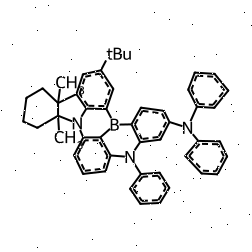 CC(C)(C)c1cc2c3c(c1)C1(C)CCCCC1(C)N3c1cccc3c1B2c1ccc(N(c2ccccc2)c2ccccc2)cc1N3c1ccccc1